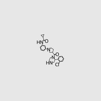 O=C(Nc1cccc(N2CCC(C(=O)N3CCNCC3c3ccccc3Cl)C2)c1)C1CC1